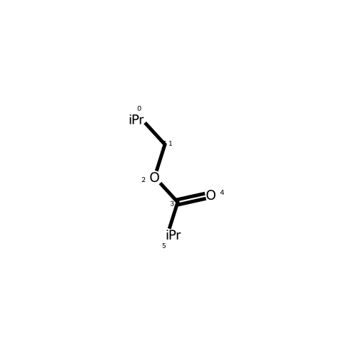 CC(C)[CH]OC(=O)C(C)C